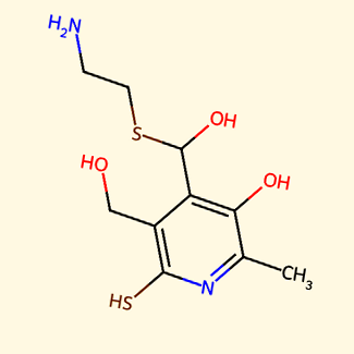 Cc1nc(S)c(CO)c(C(O)SCCN)c1O